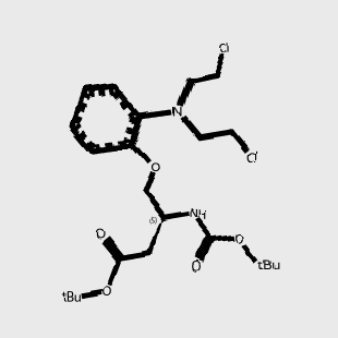 CC(C)(C)OC(=O)C[C@@H](COc1ccccc1N(CCCl)CCCl)NC(=O)OC(C)(C)C